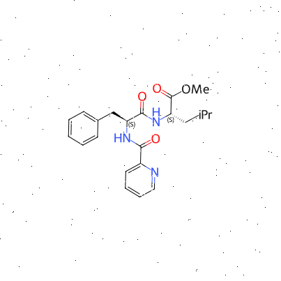 COC(=O)[C@H](CC(C)C)NC(=O)[C@H](Cc1ccccc1)NC(=O)c1ccccn1